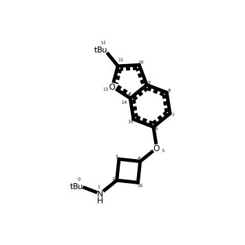 CC(C)(C)NC1CC(Oc2ccc3cc(C(C)(C)C)oc3c2)C1